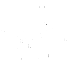 CC(C)(C)c1ccc(N(c2ccc([Si](C)(C)C)cc2)c2cc3c(c4oc(-c5cccc(C#N)c5)nc24)-c2c(cc(N(c4ccc(C(C)(C)C)cc4)c4ccc([Si](C)(C)C)cc4)c4nc(-c5cccc(C#N)c5)oc24)C3(c2ccccc2)c2ccccc2)cc1